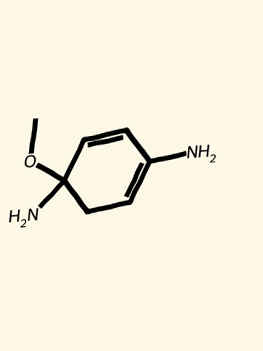 COC1(N)C=CC(N)=CC1